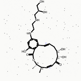 C[C@@H]1/C=C\C(=O)[C@@H](O)[C@@H](O)C/C=C/c2cc(NCCNCC(O)CO)cc(O)c2C(=O)O[C@H]1C